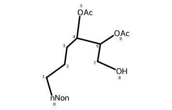 CCCCCCCCCCCCC(OC(C)=O)C(CO)OC(C)=O